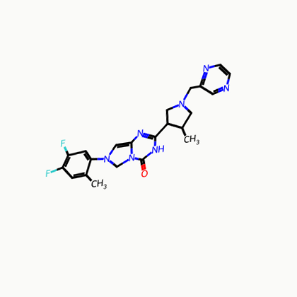 Cc1cc(F)c(F)cc1N1C=C2N=C(C3CN(Cc4cnccn4)CC3C)NC(=O)N2C1